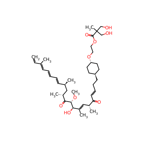 C=C/C(C)=C/C=C/C=C/[C@@H](C)C[C@@H](C)C(=O)[C@H](OC)[C@H](O)/C(C)=C/[C@@H](C)C(=O)/C=C/CC[C@H]1CC[C@H](OCCOC(=O)C(C)(CO)CO)CC1